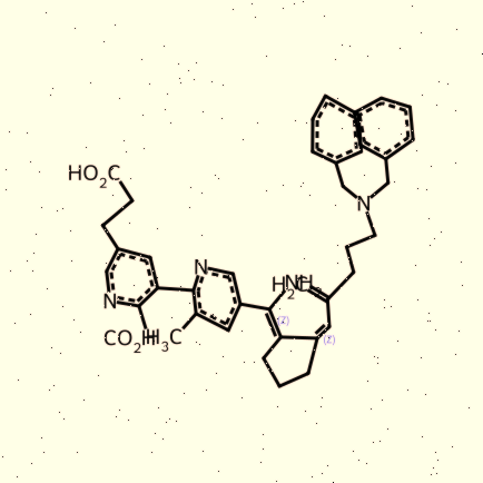 C=C(/C=C1/CCC/C1=C(/N)c1cnc(-c2cc(CCC(=O)O)cnc2C(=O)O)c(C)c1)CCCN(Cc1ccccc1)Cc1ccccc1